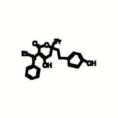 CCN(C1=C(O)CC(CCc2ccc(O)cc2)(C(C)C)OC1=O)c1ccccc1